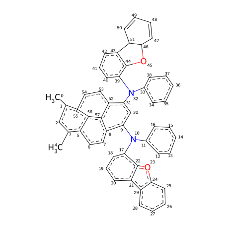 Cc1cc(C)c2ccc3c(N(c4ccccc4)c4cccc5c4oc4ccccc45)cc(N(c4ccccc4)c4cccc5c4OC4C=CC=CC54)c4ccc1c2c43